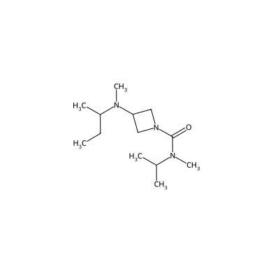 CCC(C)N(C)C1CN(C(=O)N(C)C(C)C)C1